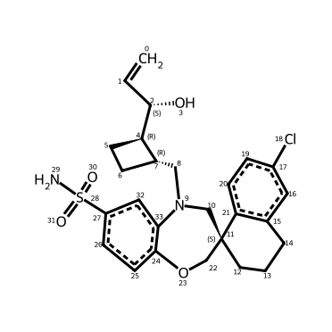 C=C[C@H](O)[C@@H]1CC[C@H]1CN1C[C@@]2(CCCc3cc(Cl)ccc32)COc2ccc(S(N)(=O)=O)cc21